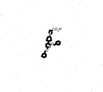 O=C(O)C1CCN(c2ccc(-c3ccc(OCc4ccccc4)nc3OCc3ccccc3)cc2)C1